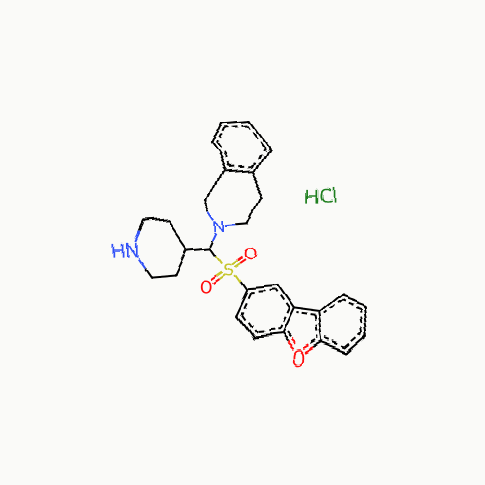 Cl.O=S(=O)(c1ccc2oc3ccccc3c2c1)C(C1CCNCC1)N1CCc2ccccc2C1